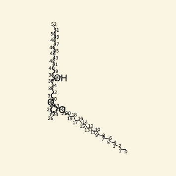 CCCCCCCCCCCCCCCCCCCCCCOc1cc(C)cc(OCCCCCCC(O)CCCCCCCCCCCCCCC)c1